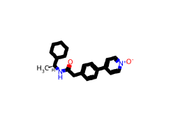 C[C@@H](NC(=O)Cc1ccc(-c2cc[n+]([O-])cc2)cc1)C1CCCCC1